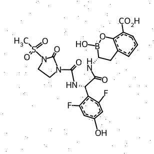 CS(=O)(=O)N1CCN(C(=O)N[C@H](C(=O)N[C@H]2Cc3cccc(C(=O)O)c3OB2O)c2c(F)cc(O)cc2F)C1=O